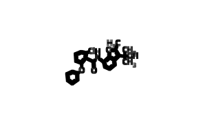 Cc1oc2c(NC(=O)c3c(Cl)cccc3Oc3ccccc3)cccc2c1C(C)(C)O